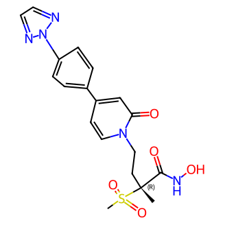 C[C@@](CCn1ccc(-c2ccc(-n3nccn3)cc2)cc1=O)(C(=O)NO)S(C)(=O)=O